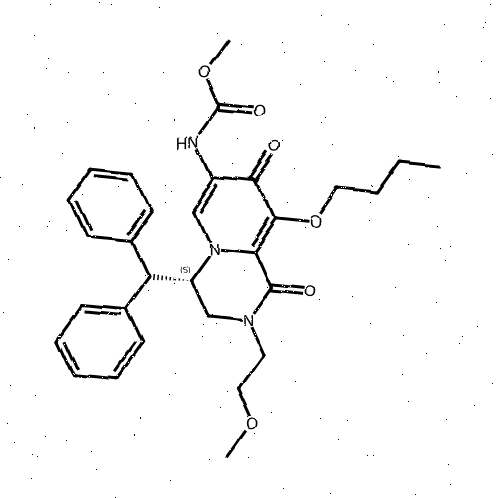 CCCCOc1c2n(cc(NC(=O)OC)c1=O)[C@@H](C(c1ccccc1)c1ccccc1)CN(CCOC)C2=O